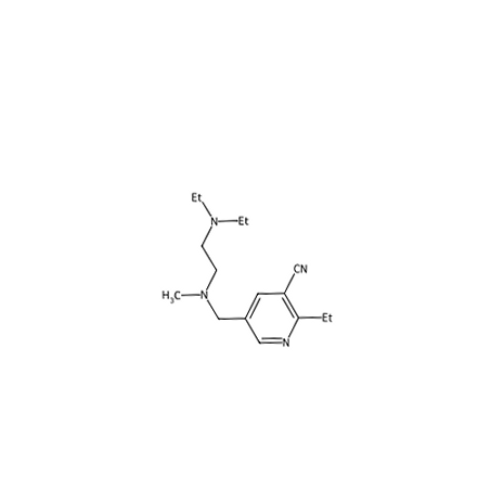 CCc1ncc(CN(C)CCN(CC)CC)cc1C#N